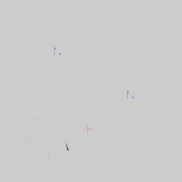 CCN(C(=O)c1ccc([C@](C)(O)C(F)(F)F)cc1)[C@H]1CC[C@](C#N)(c2ccccc2)CC1